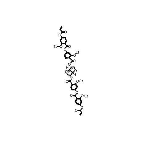 C=CC(=O)Oc1ccc(C(=O)Oc2ccc(C(=O)O[C@@H]3CO[C@H]4[C@@H]3OC[C@H]4OC(=O)c3ccc(OC(=O)c4ccc(OC(=O)C=C)cc4OCC)cc3OCC)c(OCC)c2)c(OCC)c1